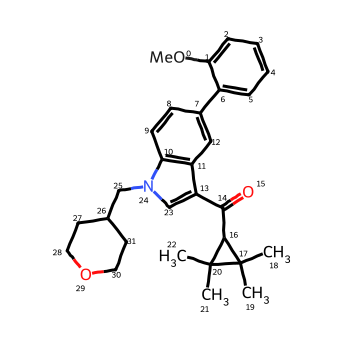 COc1ccccc1-c1ccc2c(c1)c(C(=O)C1C(C)(C)C1(C)C)cn2CC1CCOCC1